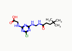 CC(C)(C)CCC(=O)NCNc1nc(Cl)nc(NCC(=O)O)n1